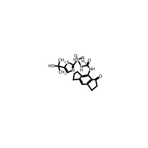 CC(C)(O)c1cnc([SH](N)(=O)NC(=O)Nc2c3c(cc4c2C(=O)CC4)CCC3)s1